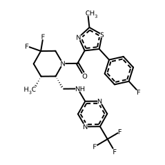 Cc1nc(C(=O)N2CC(F)(F)C[C@@H](C)[C@H]2CNc2cnc(C(F)(F)F)cn2)c(-c2ccc(F)cc2)s1